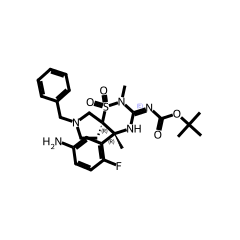 CN1/C(=N/C(=O)OC(C)(C)C)N[C@](C)(c2cc(N)ccc2F)[C@]2(CCN(Cc3ccccc3)C2)S1(=O)=O